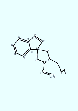 C=NOCC1(CCCC)C=Cc2ccccc21